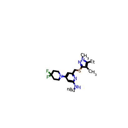 CCCCNc1cc(N2CCC(F)(F)CC2)cc(CSc2nn(C)c(CC)c2C)n1